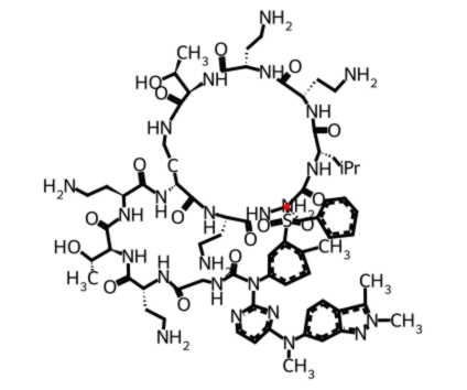 Cc1ccc(N(C(=O)NCC(=O)N[C@H](CCN)C(=O)N[C@H](C(=O)N[C@@H](CCN)C(=O)N[C@@H]2CCNC(=O)[C@@H]([C@H](C)O)NC(=O)[C@H](CCN)NC(=O)[C@H](CCN)NC(=O)[C@H](CC(C)C)NC(=O)[C@H](Cc3ccccc3)NC(=O)[C@H](CCN)NC2=O)[C@H](C)O)c2nccc(N(C)c3ccc4c(C)n(C)nc4c3)n2)cc1S(N)(=O)=O